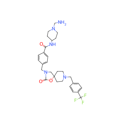 NCN1CCC(NC(=O)c2ccc(CN3CC4(CCN(Cc5ccc(C(F)(F)F)cc5)CC4)OC3=O)cc2)CC1